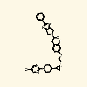 O=C(Cc1ccc(OCC[C@@H]2CC2C2CCN(c3ncc(Cl)cn3)CC2)cc1F)N1Cc2nc(-c3ccccc3)[nH]c2C1